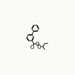 CC[C](C)OOC(=O)c1cccc(-c2ccccc2)c1